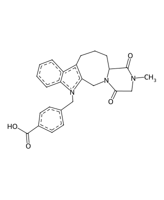 CN1CC(=O)N2Cc3c(c4ccccc4n3Cc3ccc(C(=O)O)cc3)CCCC2C1=O